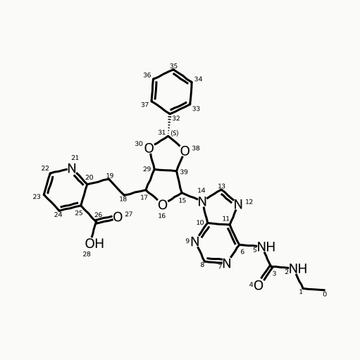 CCNC(=O)Nc1ncnc2c1ncn2C1OC(CCc2ncccc2C(=O)O)C2O[C@H](c3ccccc3)OC21